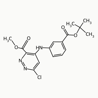 COC(=O)c1nnc(Cl)cc1Nc1cccc(C(=O)OC(C)(C)C)c1